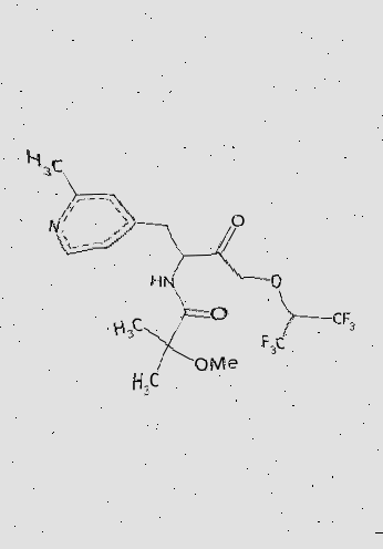 COC(C)(C)C(=O)NC(Cc1ccnc(C)c1)C(=O)COC(C(F)(F)F)C(F)(F)F